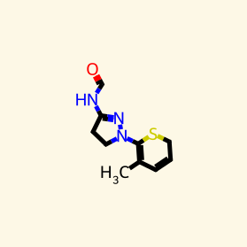 CC1=C(N2CCC(NC=O)=N2)SCC=C1